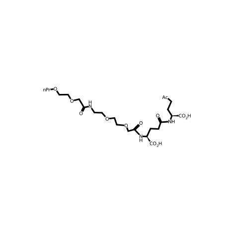 CCCOCCOCC(=O)NCCOCCOCC(=O)N[C@@H](CCC(=O)N[C@@H](CCC(C)=O)C(=O)O)C(=O)O